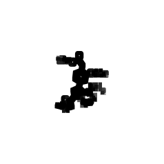 COc1cc(-c2cc(-c3cnc(C)o3)n3ncnc(N)c23)ccc1CC(=O)OC(C)(C)C